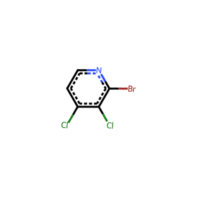 Clc1ccnc(Br)c1Cl